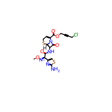 CO/N=C(\C(=O)NC1C(=O)N2C(C(=O)OCC#CCCl)=CCS[C@H]12)c1csc(N)n1